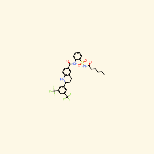 CCCCCC(=O)NS(=O)(=O)c1ccccc1NC(=O)c1ccc2c(c1)CCC(c1cc(C(F)(F)F)cc(C(F)(F)F)c1)N2